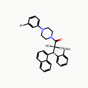 COc1ccccc1[C@@H](c1cccc2ccccc12)[C@](C)(C#N)C(=O)N1CCN(c2cccc(C(C)C)c2)CC1